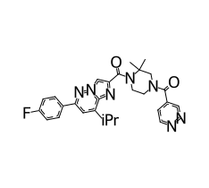 CC(C)c1cc(-c2ccc(F)cc2)nn2cc(C(=O)N3CCN(C(=O)c4ccnnc4)CC3(C)C)nc12